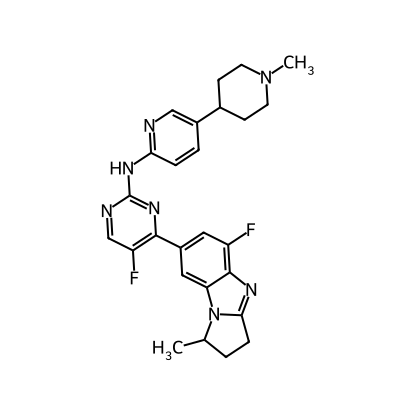 CC1CCc2nc3c(F)cc(-c4nc(Nc5ccc(C6CCN(C)CC6)cn5)ncc4F)cc3n21